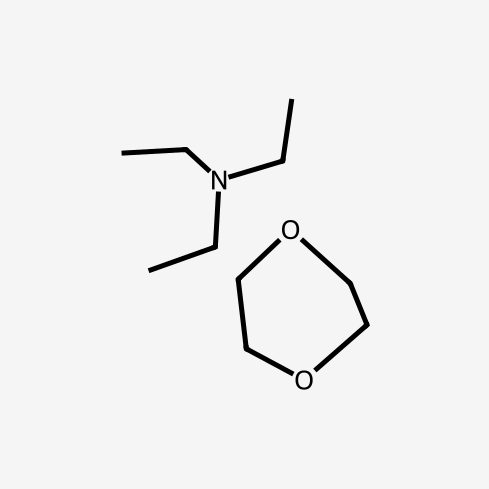 C1COCCO1.CCN(CC)CC